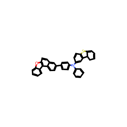 C1=CCC2C(=C1)Sc1ccc(N(c3ccccc3)c3ccc(-c4ccc5c(ccc6oc7ccccc7c65)c4)cc3)cc12